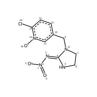 O=[N+]([O-])/N=C1\NCCN1Cc1ccc(Cl)[n+]([O-])c1